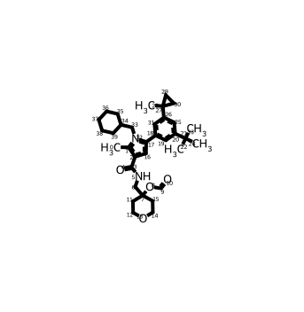 Cc1c(C(=O)NCC2(OC=O)CCOCC2)cc(-c2cc(C(C)(C)C)cc(C3(C)CC3)c2)n1CC1CCCCC1